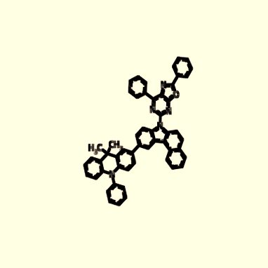 CC1(C)c2ccccc2N(c2ccccc2)c2ccc(-c3ccc4c(c3)c3c5ccccc5ccc3n4-c3nc(-c4ccccc4)c4nc(-c5ccccc5)oc4n3)cc21